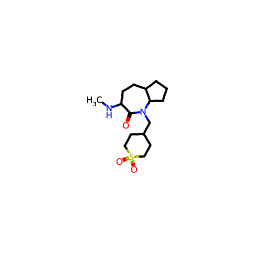 CNC1CCC2CCCC2N(CC2CCS(=O)(=O)CC2)C1=O